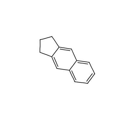 c1ccc2cc3c(cc2c1)CCC3